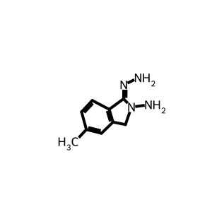 Cc1ccc2c(c1)CN(N)/C2=N\N